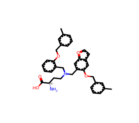 Cc1cccc(COc2ccccc2CN(CC[C@H](N)C(=O)O)Cc2cc3occc3cc2OCc2cccc(C)c2)c1